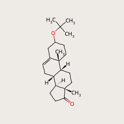 CC(C)(C)OC1CC[C@@]2(C)C(=CC[C@@H]3[C@H]2CC[C@]2(C)C(=O)CC[C@@H]32)C1